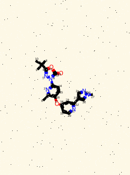 Cc1nc(-n2nc(C(C)(C)C)oc2=O)ccc1Oc1ccnc(-c2cnn(C)c2)c1